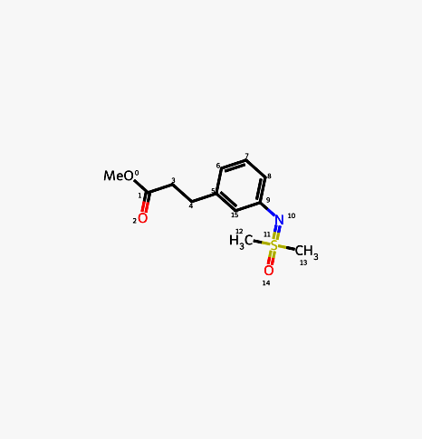 COC(=O)CCc1cccc(N=S(C)(C)=O)c1